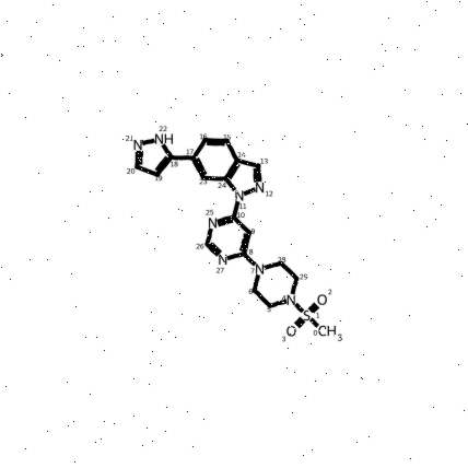 CS(=O)(=O)N1CCN(c2cc(-n3ncc4ccc(-c5ccn[nH]5)cc43)ncn2)CC1